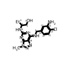 CCC(CO)Nc1nc(NCc2ccc(Cl)c(N)c2)c2nnn(C)c2n1